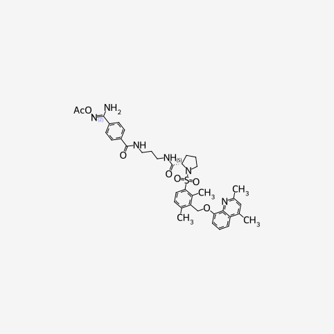 CC(=O)O/N=C(\N)c1ccc(C(=O)NCCCNC(=O)[C@@H]2CCCN2S(=O)(=O)c2ccc(C)c(COc3cccc4c(C)cc(C)nc34)c2C)cc1